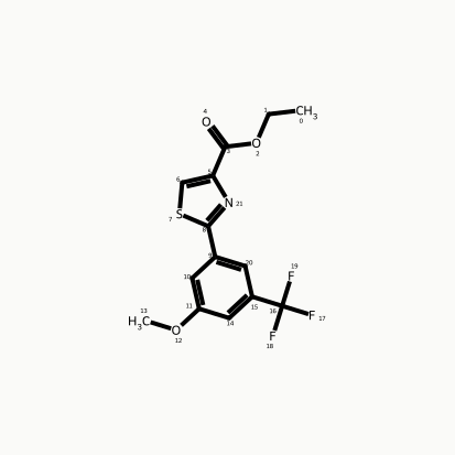 CCOC(=O)c1csc(-c2cc(OC)cc(C(F)(F)F)c2)n1